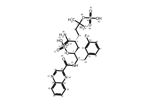 CC(C)(CC[C@H](C[C@H](OS(=O)(=O)O)[C@H](Cc1cccc(F)c1)NC(=O)c1cnc2ccccc2n1)C(N)=O)OS(=O)(=O)O